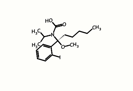 CCCCC[C@](OC)(c1ccccc1I)N(C(=O)O)C(C)C